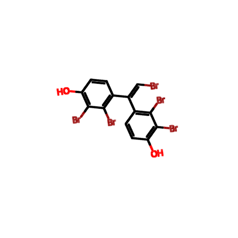 Oc1ccc(C(=CBr)c2ccc(O)c(Br)c2Br)c(Br)c1Br